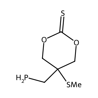 CSC1(CP)COC(=S)OC1